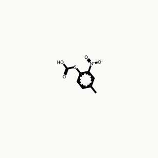 Cc1ccc(SC(=O)O)c([N+](=O)[O-])c1